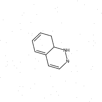 C1=CCC2N[N]C=CC2=C1